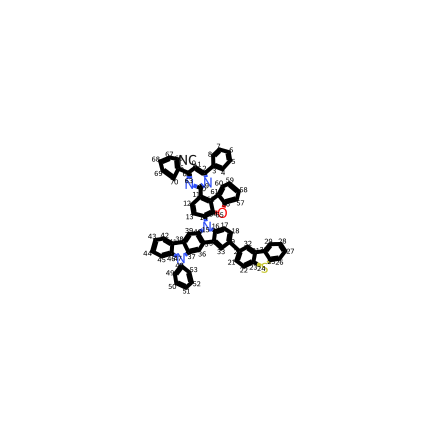 N#Cc1c(-c2ccccc2)nc(-c2ccc(-n3c4ccc(-c5ccc6sc7ccccc7c6c5)cc4c4cc5c(cc43)c3ccccc3n5-c3ccccc3)c3oc4ccccc4c23)nc1-c1ccccc1